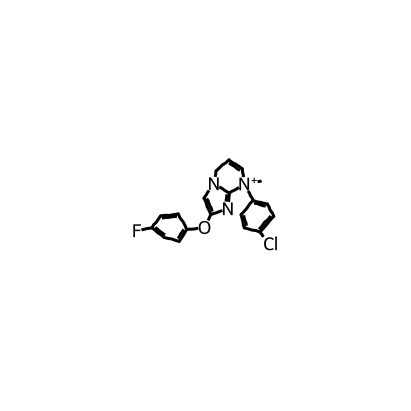 C[N+]1(c2ccc(Cl)cc2)C=CCn2cc(Oc3ccc(F)cc3)nc21